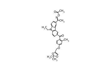 CCn1c2ccc(C(=O)c3ccc(OCC4=COC(C)(C)O4)cc3C)cc2c2cc(C(C)=NOC(C)=O)ccc21